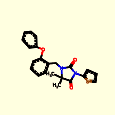 CC1(C)C(=O)N(c2cccs2)C(=O)N1Cc1ccccc1Oc1ccccc1